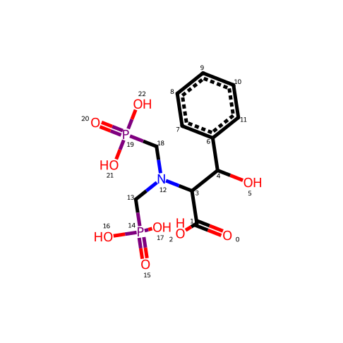 O=C(O)C(C(O)c1ccccc1)N(CP(=O)(O)O)CP(=O)(O)O